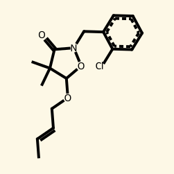 CC=CCOC1ON(Cc2ccccc2Cl)C(=O)C1(C)C